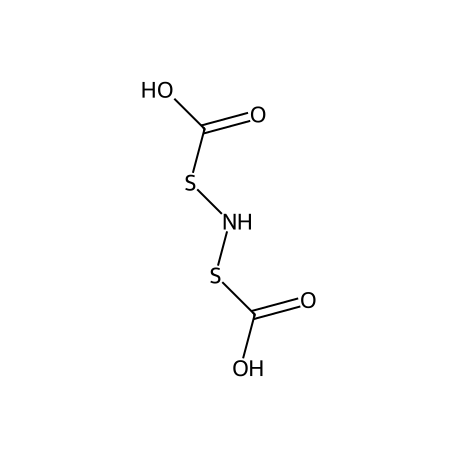 O=C(O)SNSC(=O)O